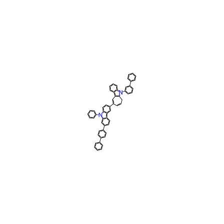 C1=CC(c2ccc3c(c2)c2ccc(-c4ccc(-c5ccccc5)cc4)cc2n3-c2ccccc2)=Cc2c(n(-c3cccc(-c4ccccc4)c3)c3ccccc23)C1